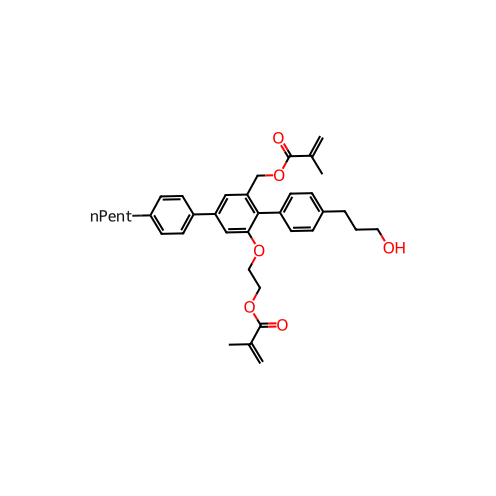 C=C(C)C(=O)OCCOc1cc(-c2ccc(CCCCC)cc2)cc(COC(=O)C(=C)C)c1-c1ccc(CCCO)cc1